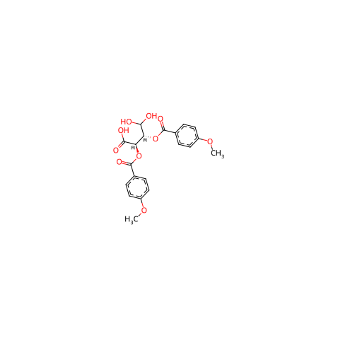 COc1ccc(C(=O)O[C@@H](C(=O)O)[C@@H](OC(=O)c2ccc(OC)cc2)C(O)O)cc1